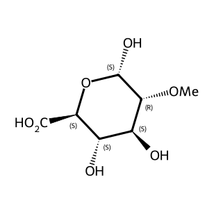 CO[C@@H]1[C@@H](O)[C@H](O)[C@@H](C(=O)O)O[C@@H]1O